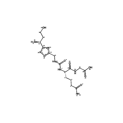 NC(=O)CCC[C@H](NC(=O)NCc1nc([C@@H](N)CCO)no1)C(=O)NCC(=O)O